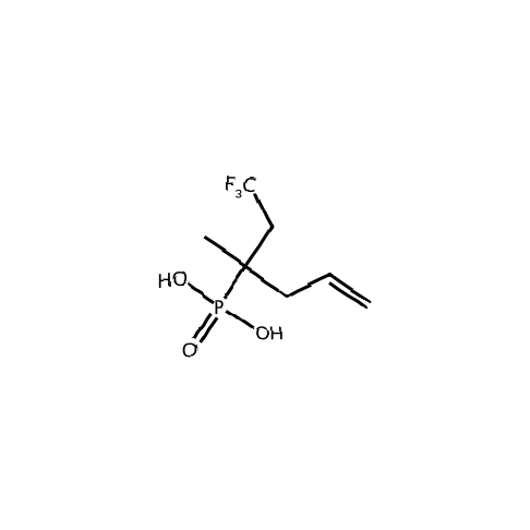 C=CCC(C)(CC(F)(F)F)P(=O)(O)O